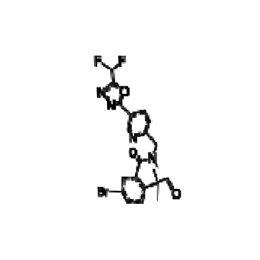 CN(Cc1ccc(-c2nnc(C(F)F)o2)cn1)C(=O)c1cc(Br)ccc1C(C)(C)C=O